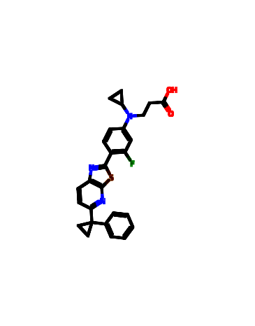 O=C(O)CCN(c1ccc(-c2nc3ccc(C4(c5ccccc5)CC4)nc3s2)c(F)c1)C1CC1